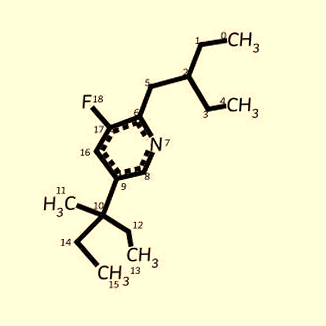 CCC(CC)Cc1ncc(C(C)(CC)CC)cc1F